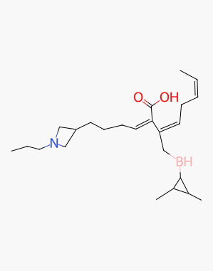 C/C=C\C/C=C(CBC1C(C)C1C)\C(=C\CCCC1CN(CCC)C1)C(=O)O